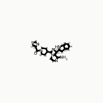 Nc1nccn2c(C3CCN(C(=O)c4cscn4)CC3)nc(-c3cc4ccccc4[nH]3)c12